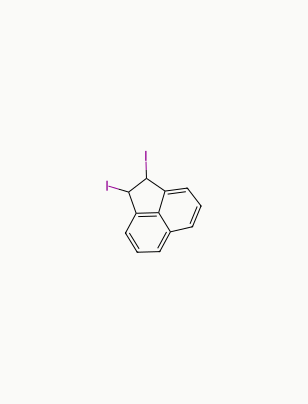 IC1c2cccc3cccc(c23)C1I